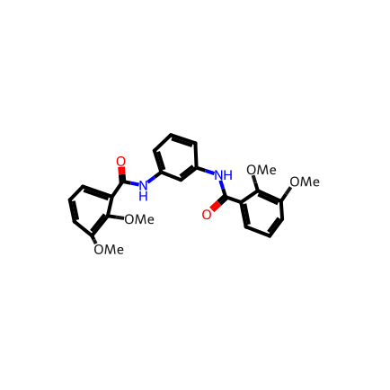 COc1cccc(C(=O)Nc2cccc(NC(=O)c3cccc(OC)c3OC)c2)c1OC